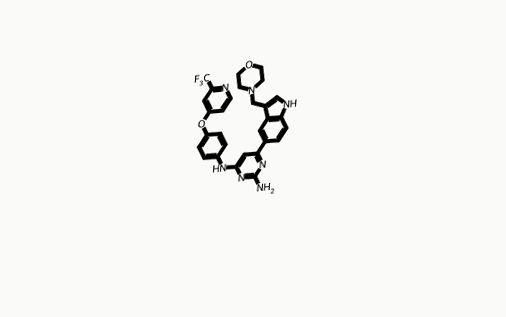 Nc1nc(Nc2ccc(Oc3ccnc(C(F)(F)F)c3)cc2)cc(-c2ccc3[nH]cc(CN4CCOCC4)c3c2)n1